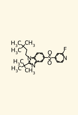 CC(C)(C)CCn1c(C(C)(C)C)nc2cc(S(=O)(=O)c3ccnc(F)c3)ccc21